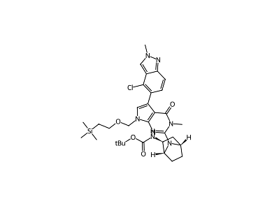 Cn1cc2c(Cl)c(-c3cn(COCC[Si](C)(C)C)c4nc(N5[C@H]6CC[C@@H]5[C@@H](NC(=O)OC(C)(C)C)C6)n(C)c(=O)c34)ccc2n1